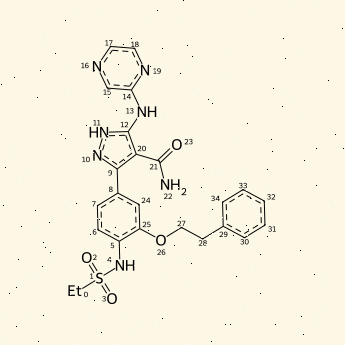 CCS(=O)(=O)Nc1ccc(-c2n[nH]c(Nc3cnccn3)c2C(N)=O)cc1OCCc1ccccc1